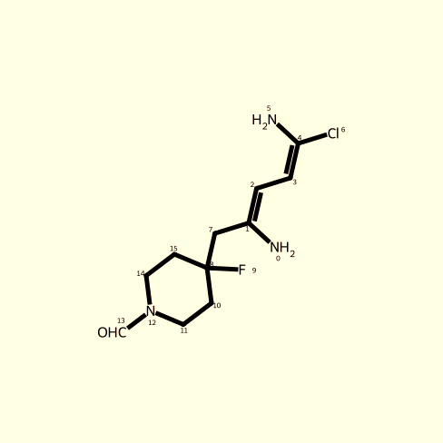 N/C(=C\C=C(/N)Cl)CC1(F)CCN(C=O)CC1